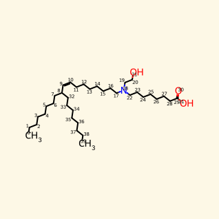 CCCCCCCCC(/C=C\CCCCCCCN(CCO)CCCCCCCC(=O)O)CCCCCCCC